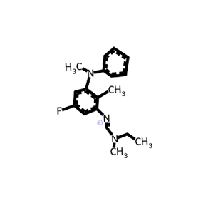 CCN(C)/C=N/c1cc(F)cc(N(C)c2ccccc2)c1C